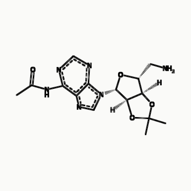 CC(=O)Nc1ncnc2c1ncn2[C@@H]1O[C@H](CN)[C@H]2OC(C)(C)O[C@H]21